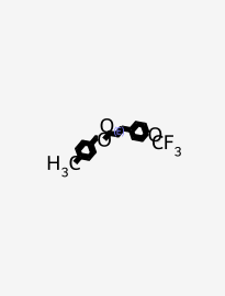 Cc1ccc(COC(=O)/C=C/c2ccc(OC(F)(F)F)cc2)cc1